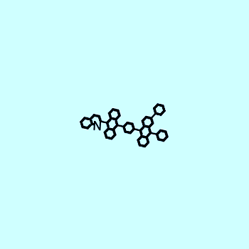 c1ccc(-c2ccc3c(-c4ccc(-c5c6ccccc6c(-c6ccc7ccccc7n6)c6ccccc56)cc4)c4ccccc4c(-c4ccccc4)c3c2)cc1